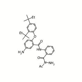 CCC(C)(C)c1ccc(Oc2ccc(N)cc2C(=O)Nc2ccccc2C(=O)N(N)C(C)=O)c(C(C)(C)CC)c1